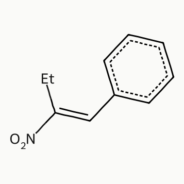 CC/C(=C\c1ccccc1)[N+](=O)[O-]